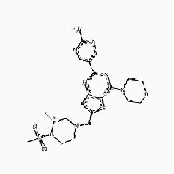 C[C@@H]1CN(Cc2cc3nc(-c4cnc(N)nc4)nc(N4CCOCC4)c3s2)CCN1S(C)(=O)=O